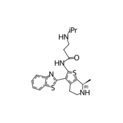 CC(C)NCCC(=O)Nc1sc2c(c1-c1nc3ccccc3s1)CCN[C@@H]2C